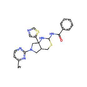 CC(C)c1ccnc(N2CC3CSC(NC(=O)c4ccccc4)NC3(c3cncs3)C2)n1